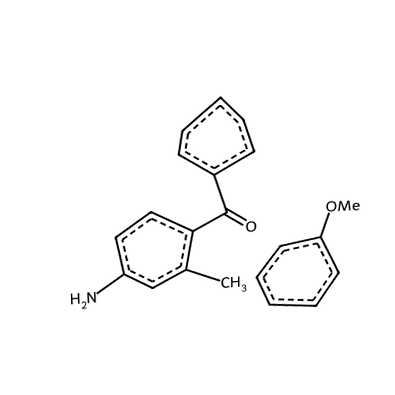 COc1ccccc1.Cc1cc(N)ccc1C(=O)c1ccccc1